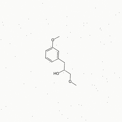 COCC(O)Cc1cccc(OC)c1